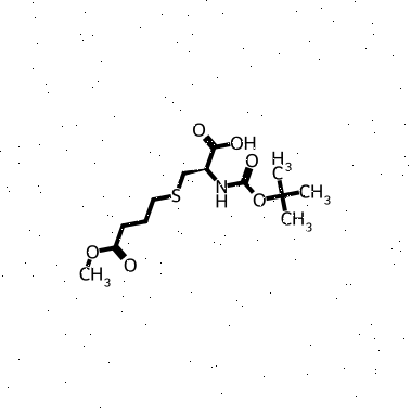 COC(=O)CCCSC[C@H](NC(=O)OC(C)(C)C)C(=O)O